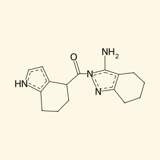 Nc1c2c(nn1C(=O)C1CCCc3[nH]ccc31)CCCC2